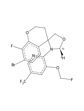 [2H][C@@H]1OCC2(CCOc3c2ccc(Br)c3F)N1c1ncc(C(F)(F)F)cc1OCF